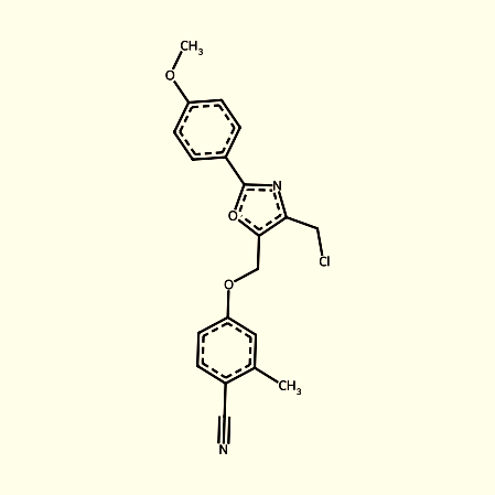 COc1ccc(-c2nc(CCl)c(COc3ccc(C#N)c(C)c3)o2)cc1